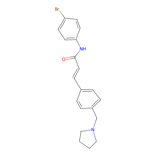 O=C(/C=C/c1ccc(CN2CCCC2)cc1)Nc1ccc(Br)cc1